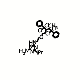 CC(C)c1nc(N)nc(NCCOCCC(C(C)C(Cl)(Cl)c2ccccc2)C(Cl)(Cl)c2ccccc2)n1